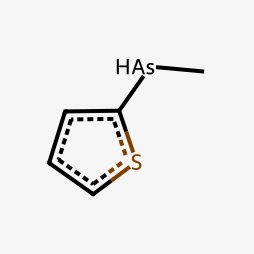 C[AsH]c1cccs1